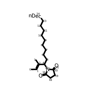 CC=C(C)C(CCCCCCCCCCCCCCCCCCC)N1C(=O)CCC1=O